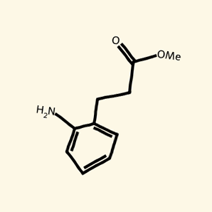 COC(=O)CCc1ccccc1N